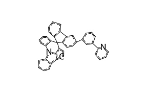 c1ccc(-c2cccc(-c3ccc4c(c3)-c3ccccc3C43c4ccccc4-n4c5ccccc5c5cccc3c54)c2)nc1